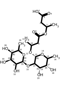 CC(CC(=O)O)OC(=O)CC(C)O[C@@H]1OC(C)[C@H](O)[C@H](O)C1O[C@@H]1OC(C)[C@H](O)[C@H](O)C1O